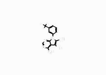 Cc1c(C)n(-c2cccc(C(F)(F)F)c2)c2ncnc(N)c12